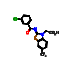 O=C(O)Cn1/c(=N/C(=O)c2cccc(Cl)c2)sc2cc(C(F)(F)F)ccc21